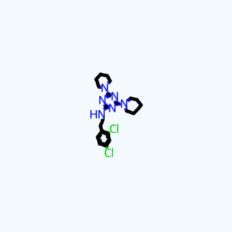 Clc1ccc(CCNc2nc(N3CCCCC3)nc(N3CCCCC3)n2)c(Cl)c1